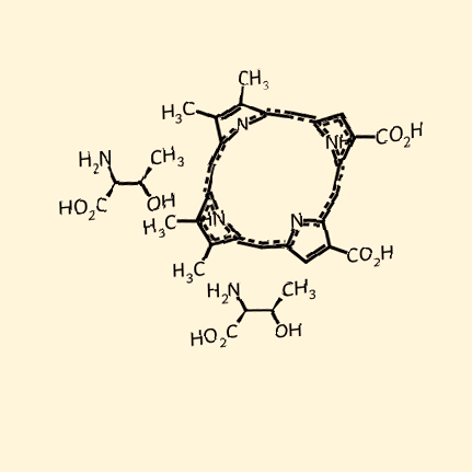 CC1=C(C)c2cc3[nH]c(cc4nc(cc5[nH]c(cc1n2)cc5C(=O)O)C(C(=O)O)=C4)c(C)c3C.C[C@@H](O)[C@H](N)C(=O)O.C[C@@H](O)[C@H](N)C(=O)O